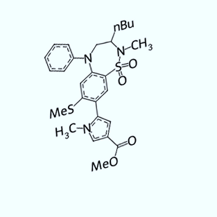 CCCCC1CN(c2ccccc2)c2cc(SC)c(-c3cc(C(=O)OC)cn3C)cc2S(=O)(=O)N1C